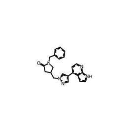 O=C1CC(Cn2cc(-c3ccnc4[nH]ccc34)cn2)CN1Cc1ccccc1